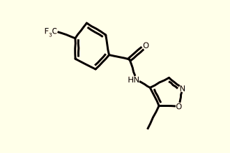 Cc1oncc1NC(=O)c1ccc(C(F)(F)F)cc1